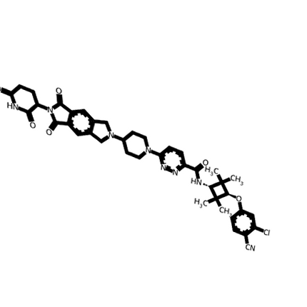 CC1(C)[C@H](NC(=O)c2ccc(N3CCC(N4Cc5cc6c(cc5C4)C(=O)N(C4CCC(=O)NC4=O)C6=O)CC3)nn2)C(C)(C)[C@H]1Oc1ccc(C#N)c(Cl)c1